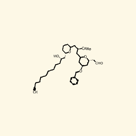 C#CCCCCCCCC[C@H](O)C[C@@H]1CCCC(C[C@H](CC2C[C@H](OCc3ccccc3)C[C@@H](CC=O)O2)OC)O1